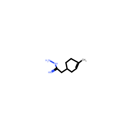 CC1=CCC(CC(=N)NN)CC1